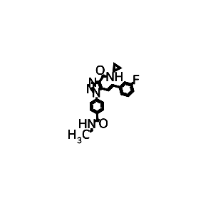 CCNC(=O)c1ccc(-n2nnc(C(=O)NC3CC3)c2C=Cc2cccc(F)c2)cc1